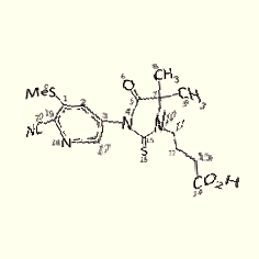 CSc1cc(N2C(=O)C(C)(C)N(CCCC(=O)O)C2=S)cnc1C#N